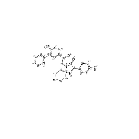 O=C(CN1C(=O)C(c2ccc(Cl)cc2)=NC12CCCCC2)c1ccc(Cl)c(-c2ccccn2)c1